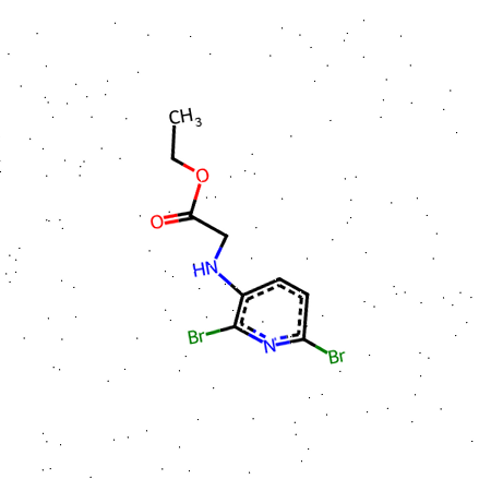 CCOC(=O)CNc1ccc(Br)nc1Br